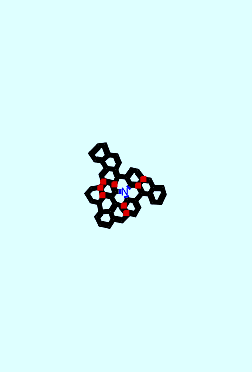 c1ccc(N(c2ccccc2-c2cccc3c2ccc2ccccc23)c2ccccc2-c2cccc3cccc(C4CCCCC4)c23)c(-c2cccc3ccccc23)c1